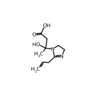 C=CCC1=NCCN1C(C)(O)CC(=O)O